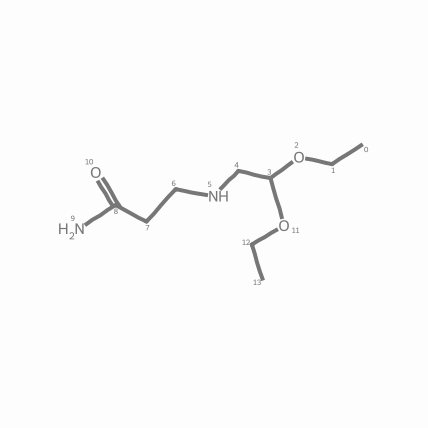 CCOC(CNCCC(N)=O)OCC